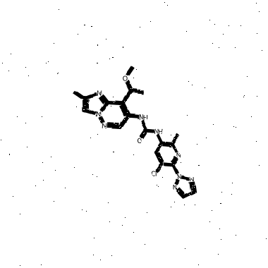 COC(C)c1c(NC(=O)Nc2cc(Cl)c(-n3nccn3)nc2C)cnn2cc(C)nc12